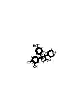 CCCC(C(N)=O)(C1CCNCC1)C(OC)(c1ccccc1)c1ccc(O)c(O)c1.Cl